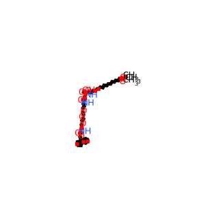 CC(C)(C)OC(=O)CCCCCCCCCCCCCCCCC(=O)N[C@@H](CCC(=O)NCCCOCCOCCOCCCNC(=O)OCC1c2ccccc2-c2ccccc21)C(=O)O